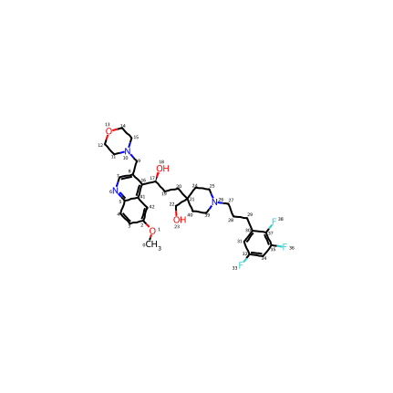 COc1ccc2ncc(CN3CCOCC3)c([C@@H](O)CCC3(CO)CCN(CCCc4cc(F)cc(F)c4F)CC3)c2c1